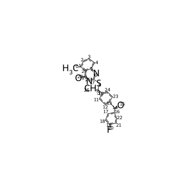 Cc1cccc2nc(SCc3ccc(C(=O)c4ccc(F)cc4)cc3)n(C)c(=O)c12